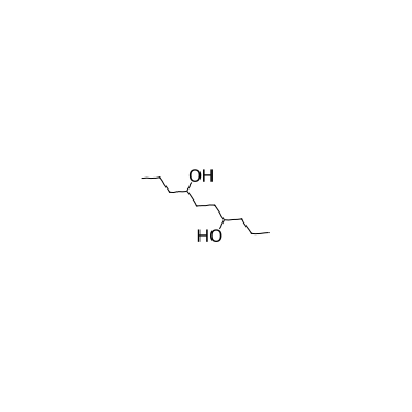 CCCC(O)CCC(O)CCC